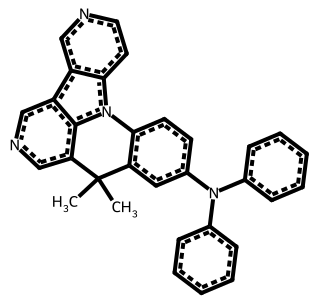 CC1(C)c2cc(N(c3ccccc3)c3ccccc3)ccc2-n2c3ccncc3c3cncc1c32